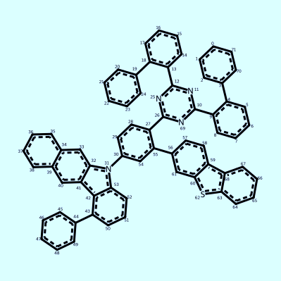 c1ccc(-c2ccccc2-c2nc(-c3ccccc3-c3ccccc3)nc(-c3ccc(-n4c5cc6ccccc6cc5c5c(-c6ccccc6)cccc54)cc3-c3ccc4c(c3)sc3ccccc34)n2)cc1